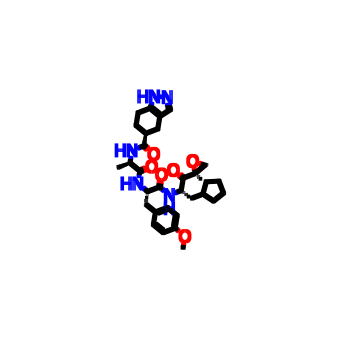 COc1ccc(C[C@H](NC(=O)[C@@H](C)NC(=O)[C@H]2CCc3[nH]ncc3C2)C(=O)N[C@@H](CC2CCCC2)C(=O)[C@]2(C)CO2)cc1